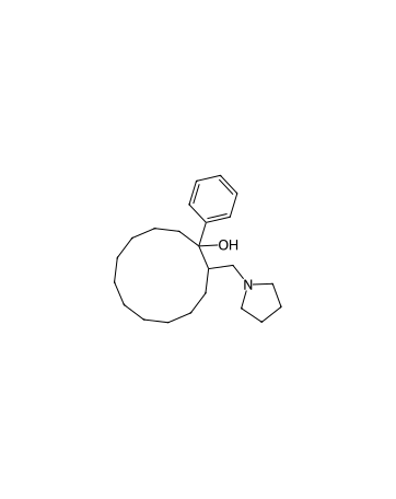 OC1(c2ccccc2)CCCCCCCCCCC1CN1CCCC1